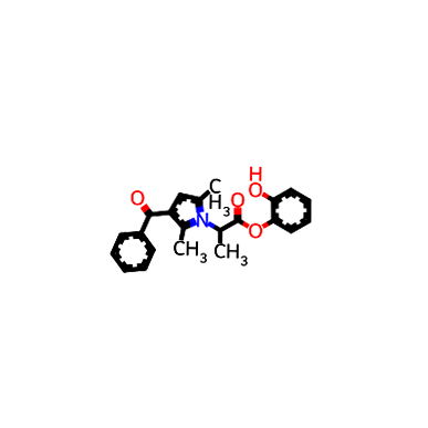 Cc1cc(C(=O)c2ccccc2)c(C)n1C(C)C(=O)Oc1ccccc1O